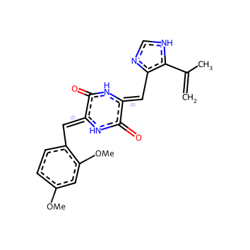 C=C(C)c1[nH]cnc1/C=c1\[nH]c(=O)/c(=C/c2ccc(OC)cc2OC)[nH]c1=O